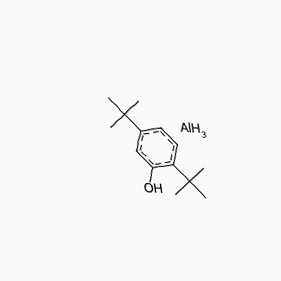 CC(C)(C)c1ccc(C(C)(C)C)c(O)c1.[AlH3]